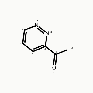 O=C(I)c1cccnn1